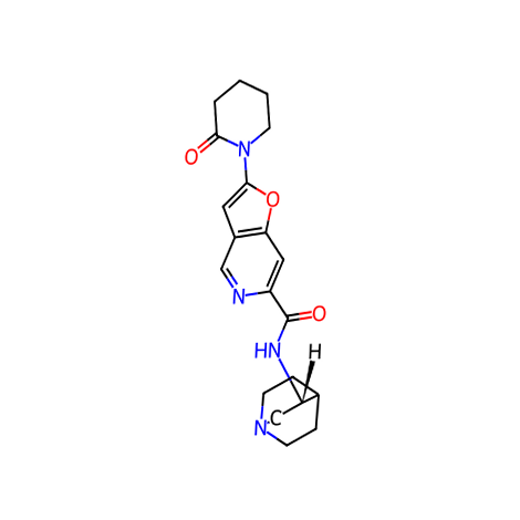 O=C(N[C@H]1CN2CCC1CC2)c1cc2oc(N3CCCCC3=O)cc2cn1